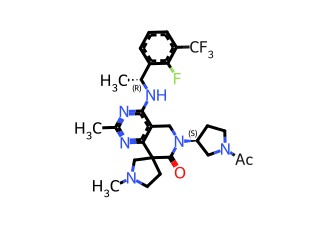 CC(=O)N1CC[C@H](N2Cc3c(N[C@H](C)c4cccc(C(F)(F)F)c4F)nc(C)nc3C3(CCN(C)C3)C2=O)C1